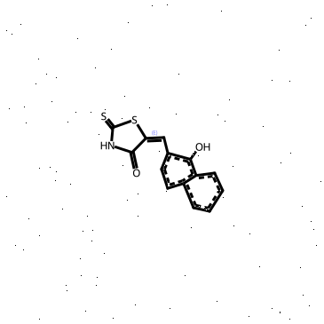 O=C1NC(=S)S/C1=C/c1ccc2ccccc2c1O